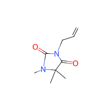 C=CCN1C(=O)N(C)C(C)(C)C1=O